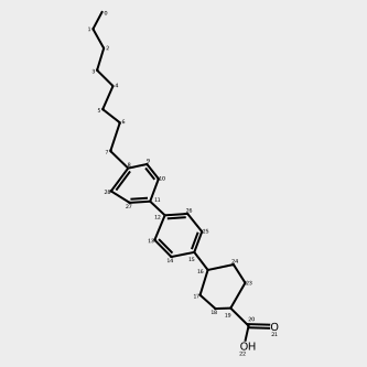 CCCCCCCCc1ccc(-c2ccc(C3CCC(C(=O)O)CC3)cc2)cc1